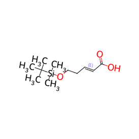 CC(C)(C)[Si](C)(C)OCC/C=C/C(=O)O